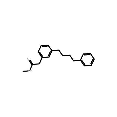 CNC(=O)Cc1cccc(CCCCc2ccccc2)c1